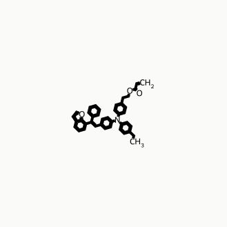 C=CC(=O)OCCc1ccc(N(c2ccc(C=C(c3ccccc3)c3cccc4ccoc34)cc2)c2ccc(CC)cc2)cc1